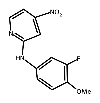 COc1ccc(Nc2cc([N+](=O)[O-])ccn2)cc1F